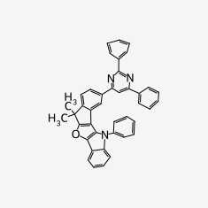 CC1(C)c2ccc(-c3cc(-c4ccccc4)nc(-c4ccccc4)n3)cc2-c2c1oc1c3ccccc3n(-c3ccccc3)c21